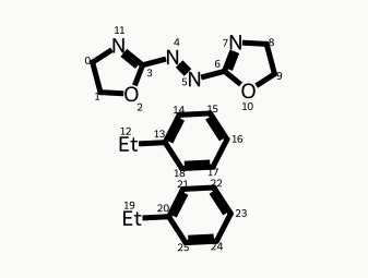 C1COC(N=NC2=NCCO2)=N1.CCc1ccccc1.CCc1ccccc1